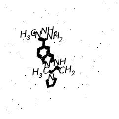 C=C(Nc1cc2cc(/C(N)=C/N(C)N)ccc2cn1)C(C)N1CCCC1